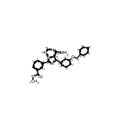 COC(=O)c1cccc(-c2nc(-c3cccc(OCc4ccccc4)c3)c3c(N)ncnn23)c1